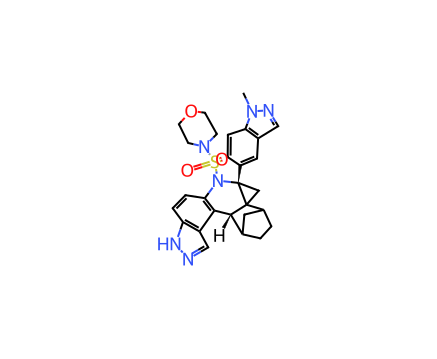 Cn1ncc2cc([C@@]34CC35C3CCC(C3)[C@@H]5c3c(ccc5[nH]ncc35)N4S(=O)(=O)N3CCOCC3)ccc21